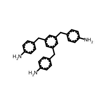 Nc1ccc(Cc2cc(Cc3ccc(N)cc3)cc(Cc3ccc(N)cc3)c2)cc1